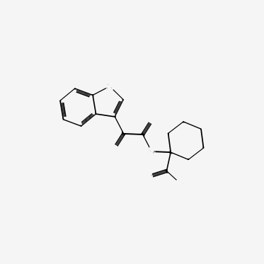 O=C(NC1(C(=O)O)CCCCC1)C(=O)c1c[nH]c2ccccc12